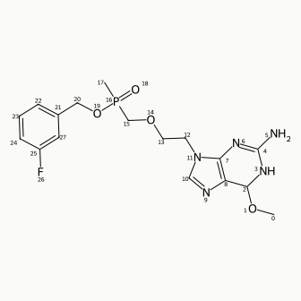 COC1NC(N)=Nc2c1ncn2CCOCP(C)(=O)OCc1cccc(F)c1